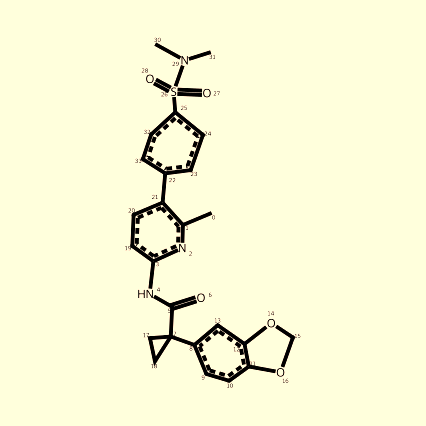 Cc1nc(NC(=O)C2(c3ccc4c(c3)OCO4)CC2)ccc1-c1ccc(S(=O)(=O)N(C)C)cc1